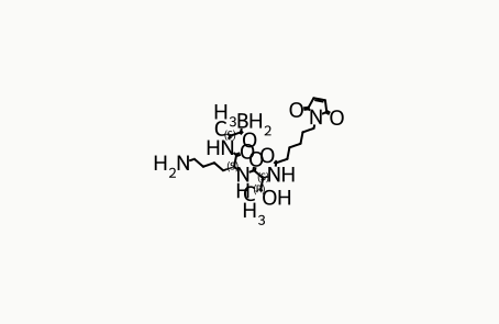 BC(=O)[C@H](C)NC(=O)[C@H](CCCCN)NC(=O)[C@@H](NC(=O)CCCCCN1C(=O)C=CC1=O)[C@@H](C)O